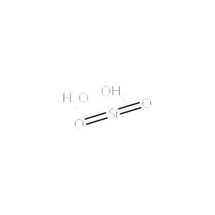 O.O.O=[Si]=O